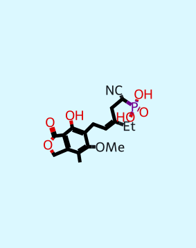 CCC(=CCc1c(O)c2c(c(C)c1OC)COC2=O)CC(C#N)P(=O)(O)O